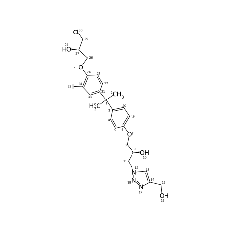 CC(C)(c1ccc(OC[C@@H](O)Cn2cc(CO)nn2)cc1)c1ccc(OC[C@@H](O)CCl)c(I)c1